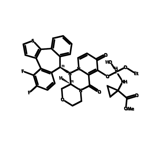 CCO[PH](O)(NC1(C(=O)OC)CC1)Oc1c2n(ccc1=O)N([C@@H]1c3ccccc3-c3sccc3-c3c1ccc(F)c3F)[C@@H]1COCCN1C2=O